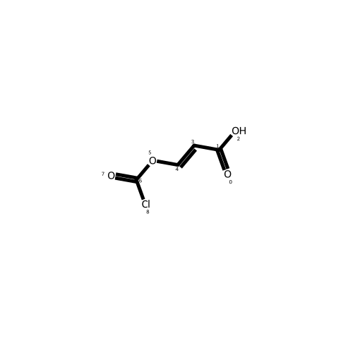 O=C(O)C=COC(=O)Cl